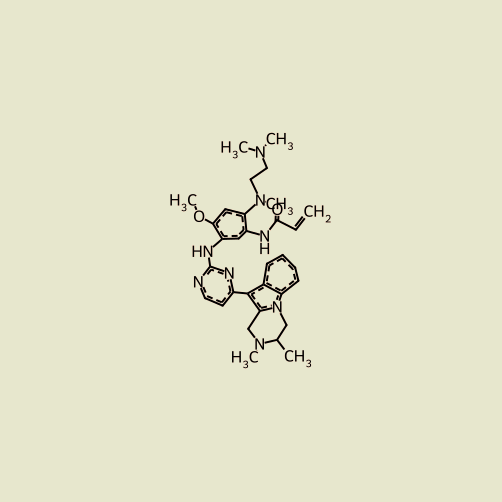 C=CC(=O)Nc1cc(Nc2nccc(-c3c4n(c5ccccc35)CC(C)N(C)C4)n2)c(OC)cc1N(C)CCN(C)C